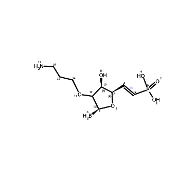 B[C@@H]1O[C@H](/C=C/P(=O)(O)O)[C@H](O)C1OCCCN